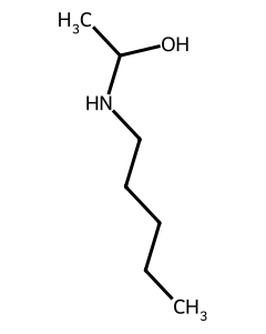 CCCCCNC(C)O